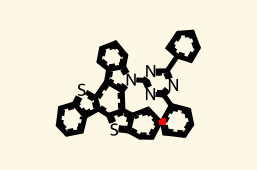 c1ccc(-c2nc(-c3ccccc3)nc(-n3c4ccccc4c4c5sc6ccccc6c5c5sc6ccccc6c5c43)n2)cc1